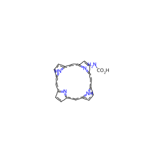 C1=Cc2cc3ccc(cc4nc(cc5ccc(cc1n2)[nH]5)C=C4)[nH]3.NC(=O)O